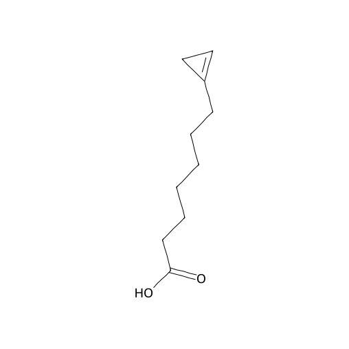 O=C(O)CCCCCCC1=CC1